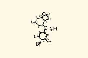 Cc1cc(OC2CN(C)Cc3occc32)cc(C)c1Br.Cl